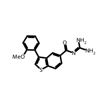 COc1ccccc1-c1csc2ccc(C(=O)N=C(N)N)cc12